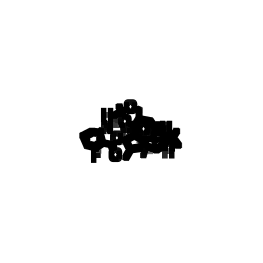 CC1=C[C@]23C(O)[C@@H](C=C4COC(C)(C)O[C@H]4[C@]2(O)[C@H]1OC(=O)c1c(N)cccc1F)[C@H]1[C@@H](C[C@H]3C)C1(C)C